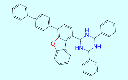 c1ccc(-c2ccc(-c3ccc(C4NC(c5ccccc5)NC(c5ccccc5)N4)c4c3oc3ccccc34)cc2)cc1